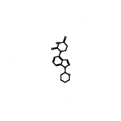 O=C1CCN(c2cccc3c2cnn3C2CCCCO2)C(=O)N1